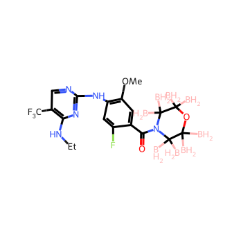 BC1(B)OC(B)(B)C(B)(B)N(C(=O)c2cc(OC)c(Nc3ncc(C(F)(F)F)c(NCC)n3)cc2F)C1(B)B